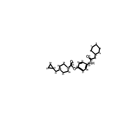 O=C(CC1CCCCC1)Nc1ccc(OC(=O)N2CCN(CC3CC3)CC2)cc1